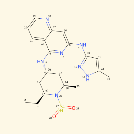 CC[C@H]1C[C@H](Nc2nc(Nc3cc(C)[nH]n3)cc3ncccc23)C[C@@H](C)N1[SH](=O)=O